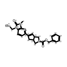 Cn1c(=O)n(CC(C)(C)C)c2ccc(C3=CC4CN(C(=O)OCc5ccccc5)CC4C3)nc21